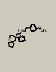 COc1ccc(CCNCC[C@]2(c3ccccn3)CCOC3(CCCC3)C2)cc1